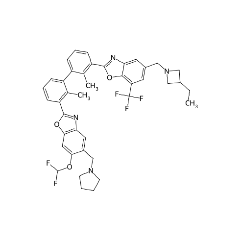 CCC1CN(Cc2cc(C(F)(F)F)c3oc(-c4cccc(-c5cccc(-c6nc7cc(CN8CCCC8)c(OC(F)F)cc7o6)c5C)c4C)nc3c2)C1